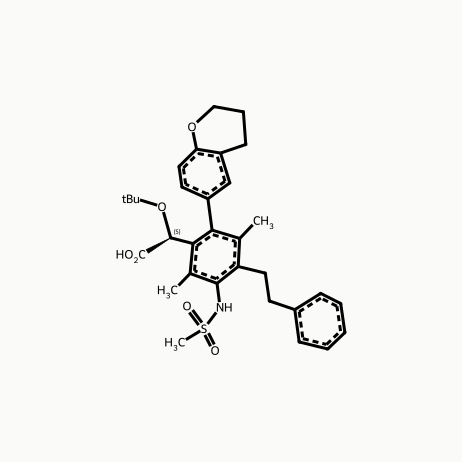 Cc1c(CCc2ccccc2)c(NS(C)(=O)=O)c(C)c([C@H](OC(C)(C)C)C(=O)O)c1-c1ccc2c(c1)CCCO2